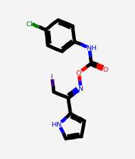 O=C(Nc1ccc(Cl)cc1)ON=C(CI)c1ccc[nH]1